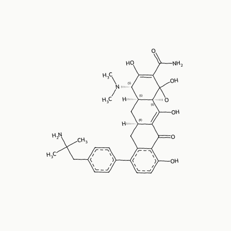 CN(C)[C@@H]1C(O)=C(C(N)=O)C2(O)O[C@@]23C(O)=C2C(=O)c4c(O)ccc(-c5ccc(CC(C)(C)N)cc5)c4C[C@H]2C[C@@H]13